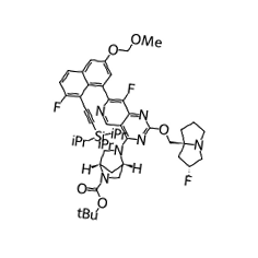 COCOc1cc(-c2ncc3c(N4C[C@@H]5C[C@H]4CN5C(=O)OC(C)(C)C)nc(OC[C@@]45CCCN4C[C@H](F)C5)nc3c2F)c2c(C#C[Si](C(C)C)(C(C)C)C(C)C)c(F)ccc2c1